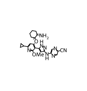 COc1nc(C2CC2)cc(O[C@@H]2CCCC[C@@H]2N)c1-c1cc(Nc2cnc(C#N)cn2)n[nH]1